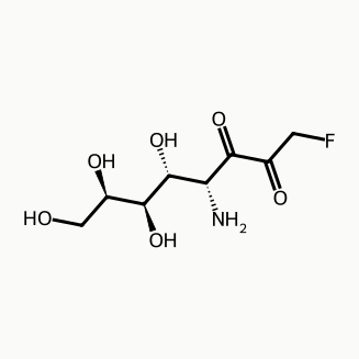 N[C@@H](C(=O)C(=O)CF)[C@@H](O)[C@@H](O)[C@H](O)CO